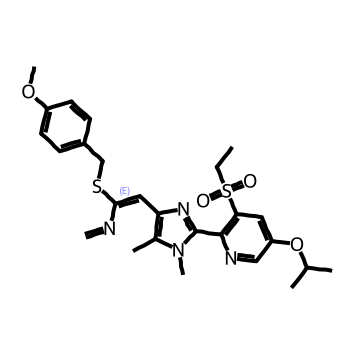 C=N/C(=C\c1nc(-c2ncc(OC(C)C)cc2S(=O)(=O)CC)n(C)c1C)SCc1ccc(OC)cc1